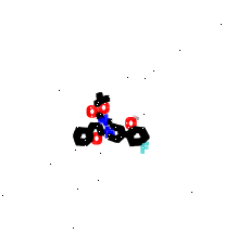 COc1ccc(F)cc1C1=CCN(C(=O)C(Cc2ccccc2)N(C)C(=O)OC(C)(C)C)CC1